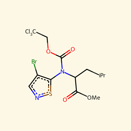 COC(=O)C(CC(C)C)N(C(=O)OCC(Cl)(Cl)Cl)c1sncc1Br